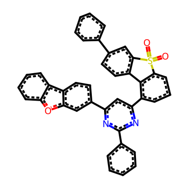 O=S1(=O)c2cc(-c3ccccc3)ccc2-c2c(-c3cc(-c4ccc5c(c4)oc4ccccc45)nc(-c4ccccc4)n3)cccc21